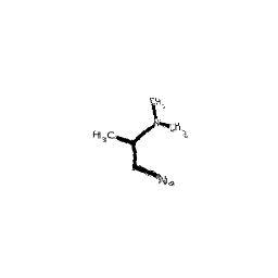 CC([CH2][Na])[N+](C)C